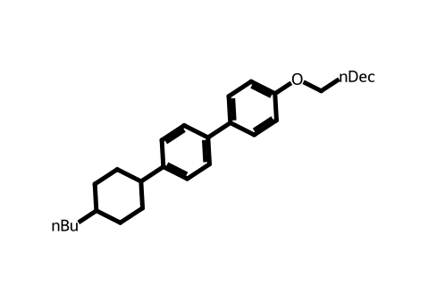 CCCCCCCCCCCOc1ccc(-c2ccc(C3CCC(CCCC)CC3)cc2)cc1